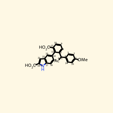 COc1ccc(C(C(C)=O)c2cccc(C(=O)O)c2-c2ccc3[nH]c(C(=O)O)cc3c2)cc1